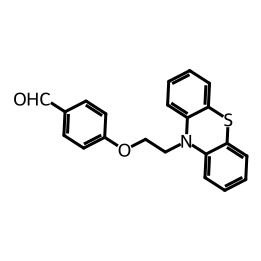 O=Cc1ccc(OCCN2c3ccccc3Sc3ccccc32)cc1